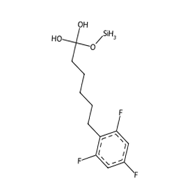 OC(O)(CCCCCc1c(F)cc(F)cc1F)O[SiH3]